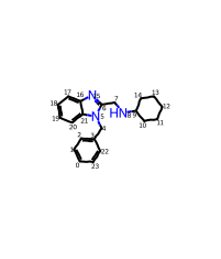 c1ccc(Cn2c(CNC3CCCCC3)nc3ccccc32)cc1